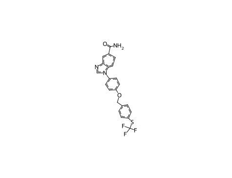 NC(=O)c1ccc2c(c1)ncn2-c1ccc(OCc2ccc(SC(F)(F)F)cc2)cc1